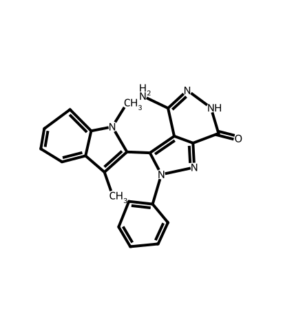 Cc1c(-c2c3c(N)n[nH]c(=O)c3nn2-c2ccccc2)n(C)c2ccccc12